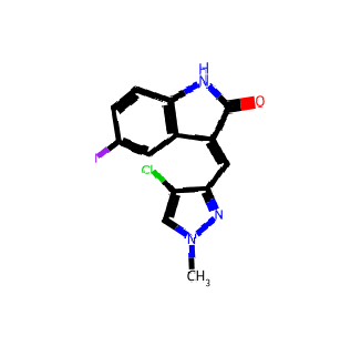 Cn1cc(Cl)c(C=C2C(=O)Nc3ccc(I)cc32)n1